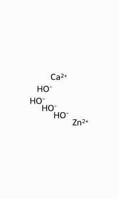 [Ca+2].[OH-].[OH-].[OH-].[OH-].[Zn+2]